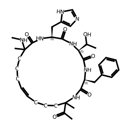 CNC1(C)CCCC=CCCCC(C)(C(C)=O)NC(=O)[C@H](Cc2ccccc2)NC(=O)[C@H](C(C)O)NC(=O)[C@H](Cc2cnc[nH]2)NC1=O